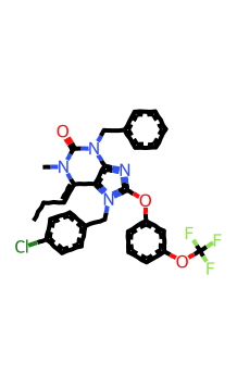 CC/C=C1/c2c(nc(Oc3cccc(OC(F)(F)F)c3)n2Cc2ccc(Cl)cc2)N(Cc2ccccc2)C(=O)N1C